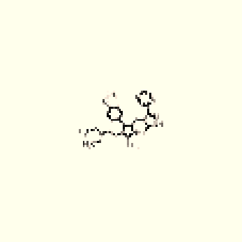 CCN(CC)CCc1c(C)[nH]c(C=C2C(=O)NN=C2c2cnccn2)c1-c1ccc(OC)cc1